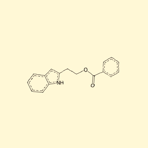 O=C(OCCc1cc2ccccc2[nH]1)c1ccccc1